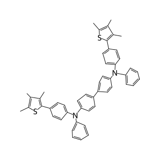 Cc1sc(-c2ccc(N(c3ccccc3)c3ccc(-c4ccc(N(c5ccccc5)c5ccc(-c6sc(C)c(C)c6C)cc5)cc4)cc3)cc2)c(C)c1C